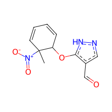 CC1([N+](=O)[O-])C=CC=CC1Oc1[nH]ncc1C=O